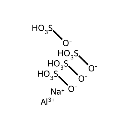 O=S(=O)([O-])O.O=S(=O)([O-])O.O=S(=O)([O-])O.O=S(=O)([O-])O.[Al+3].[Na+]